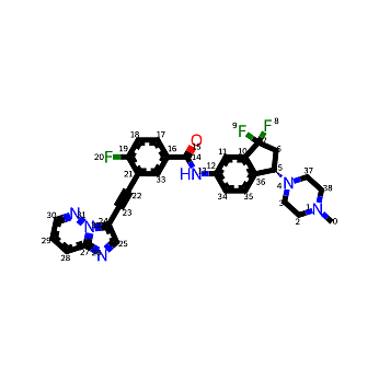 CN1CCN([C@H]2CC(F)(F)c3cc(NC(=O)c4ccc(F)c(C#Cc5cnc6cccnn56)c4)ccc32)CC1